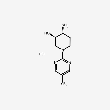 Cl.N[C@H]1CCN(c2ncc(C(F)(F)F)cn2)C[C@H]1O